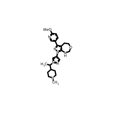 COc1ccc(-c2nn(-c3cnn(C(C)C4CCN(C)CC4)c3)c3c2CCOCN3)cn1